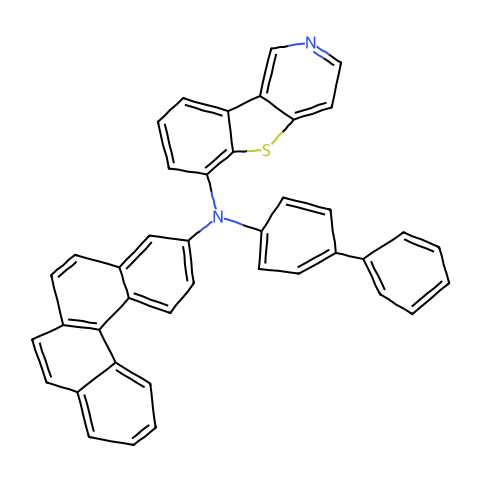 c1ccc(-c2ccc(N(c3ccc4c(ccc5ccc6ccccc6c54)c3)c3cccc4c3sc3ccncc34)cc2)cc1